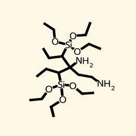 CCO[Si](OCC)(OCC)C(CC)C(N)(CCN)C(CC)[Si](OCC)(OCC)OCC